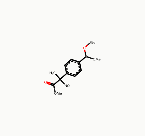 COB(OC(C)(C)C)c1ccc(C(C)(N=O)C(=O)OC)cc1